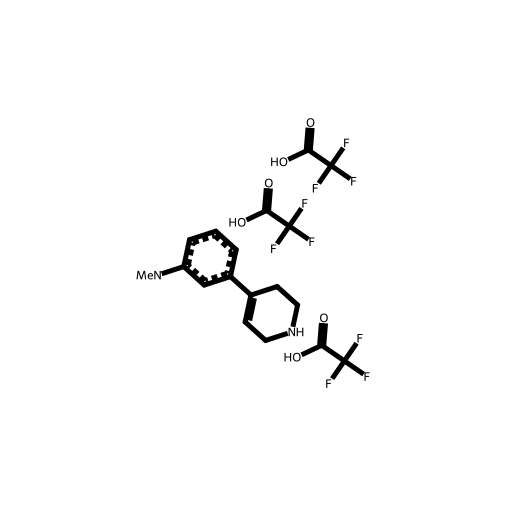 CNc1cccc(C2=CCNCC2)c1.O=C(O)C(F)(F)F.O=C(O)C(F)(F)F.O=C(O)C(F)(F)F